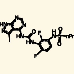 CCCS(=O)(=O)Nc1ccc(F)c(NC(=O)Nc2ncnc3[nH]nc(I)c23)c1F